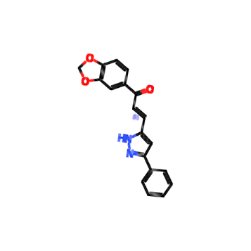 O=C(/C=C/c1cc(-c2ccccc2)n[nH]1)c1ccc2c(c1)OCO2